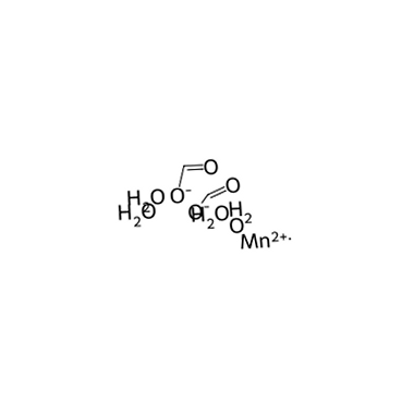 O.O.O.O.O=C[O-].O=C[O-].[Mn+2]